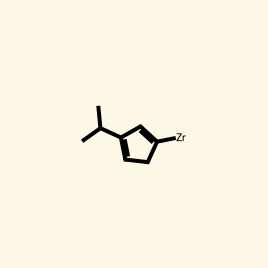 CC(C)C1=CC[C]([Zr])=C1